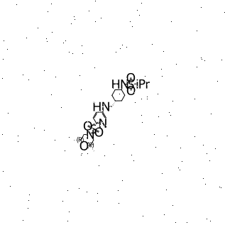 CC(C)S(=O)(=O)N[C@H]1CC[C@H](CNc2ccc(S(=O)(=O)N3C[C@@H](C)O[C@@H](C)C3)nc2)CC1